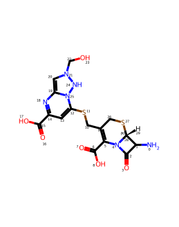 NC1C(=O)N2C(C(=O)O)=C(CSC3=CC(C(=O)O)=NC4=CN(CO)NN43)CS[C@H]12